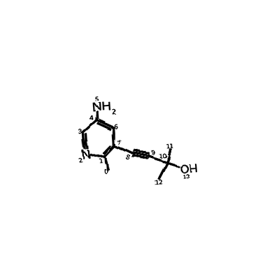 Cc1ncc(N)cc1C#CC(C)(C)O